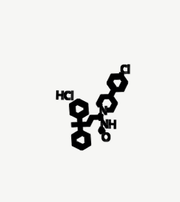 CC(CCC(NC=O)N1CCC(c2ccc(Cl)cc2)CC1)(c1ccccc1)c1ccccc1.Cl